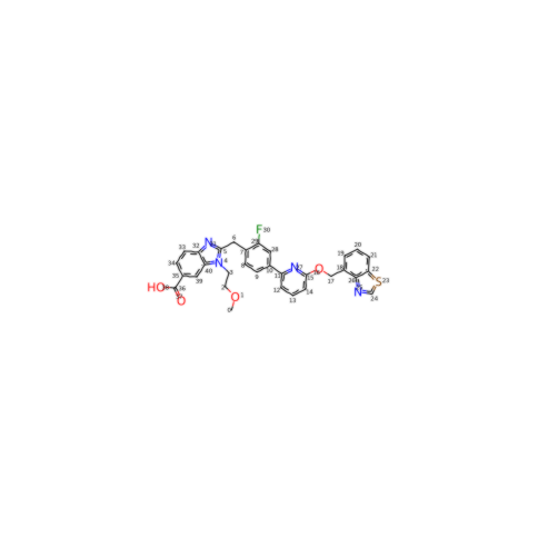 COCCn1c(Cc2ccc(-c3cccc(OCc4cccc5scnc45)n3)cc2F)nc2ccc(C(=O)O)cc21